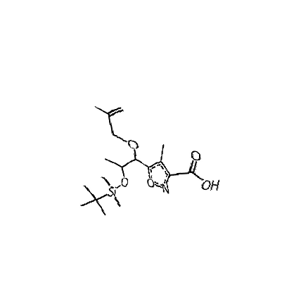 C=C(C)COC(c1onc(C(=O)O)c1C)C(C)O[Si](C)(C)C(C)(C)C